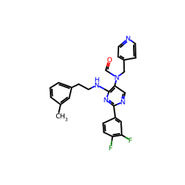 Cc1cccc(CCNc2nc(-c3ccc(F)c(F)c3)ncc2N(C=O)Cc2ccncc2)c1